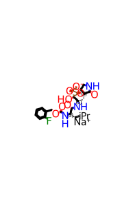 CC(C)C[C@H](NC(=O)OCc1ccccc1F)C(=O)N[C@@H](C[C@@H]1CCNC1=O)C(O)S(=O)(=O)[O-].[Na+]